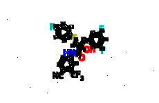 N#Cc1ccc(NC(=O)[C@@](O)(CSc2ccc(F)cc2)Cc2cc(F)cc(F)c2)cc1C(F)(F)F